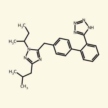 CCC(C)n1nc(CC(C)C)nc1Cc1ccc(-c2ccccc2-c2nnn[nH]2)cc1